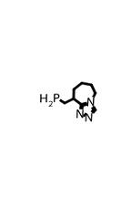 PCC1CCCCn2cnnc21